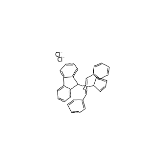 C1=C[CH]([Zr](=[CH]c2ccccc2)(=[CH]c2ccccc2)[CH]2c3ccccc3-c3ccccc32)C=C1.[Cl-].[Cl-]